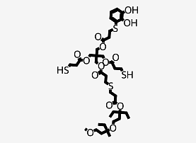 CCC(C)(CCOC)OCCC(CC)(CC)OC(=O)CCSCCC(=O)OCC(COC(=O)CCS)(COC(=O)CCS)COC(=O)CCSc1cccc(O)c1O